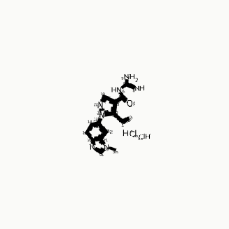 CCc1c(C(=O)NC(=N)N)cnn1-c1ccc2ncn(C)c2c1.Cl.Cl